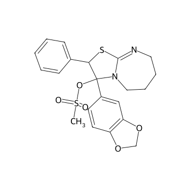 CS(=O)(=O)OC1(c2ccc3c(c2)OCO3)C(c2ccccc2)SC2=NCCCCN21